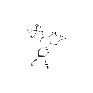 CC(C(=O)OC(C)(C)C)N(CC1CC1)c1ccc(C#N)c(C#N)c1